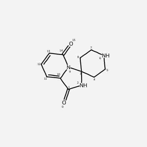 O=C1NC2(CCNCC2)n2c1cccc2=O